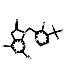 Nc1nc(Cl)c2c(n1)N(Cc1nccc(C(F)(F)F)c1Cl)C(=O)C2